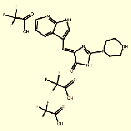 O=C(O)C(F)(F)F.O=C(O)C(F)(F)F.O=C(O)C(F)(F)F.O=C1NC(N2CCNCC2)=N/C1=C\c1c[nH]c2ncccc12